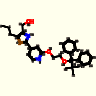 CCCc1sc(-c2ccnc(OCCO[Si](c3ccccc3)(c3ccccc3)C(C)(C)C)c2)nc1CO